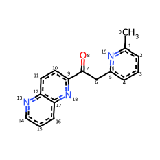 Cc1cccc(CC(=O)c2ccc3ncccc3n2)n1